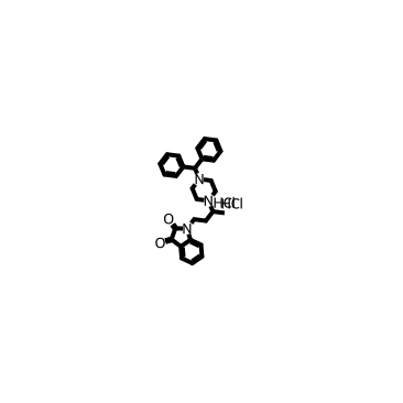 CC(CCN1C(=O)C(=O)c2ccccc21)N1CCN(C(c2ccccc2)c2ccccc2)CC1.Cl.Cl